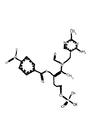 C/C(=C(\CCOP(=O)(O)O)SC(=O)c1ccc([N+](=O)[O-])cc1)N(C=O)Cc1cnc(C)nc1N